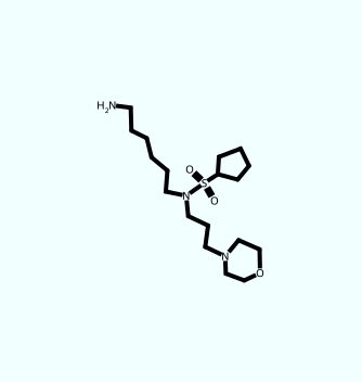 NCCCCCCN(CCCN1CCOCC1)S(=O)(=O)C1CCCC1